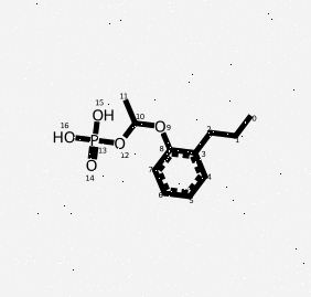 CCCc1ccccc1OC(C)OP(=O)(O)O